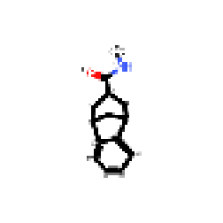 CCNC(=O)C1CC2CC(C1)c1ccccc12